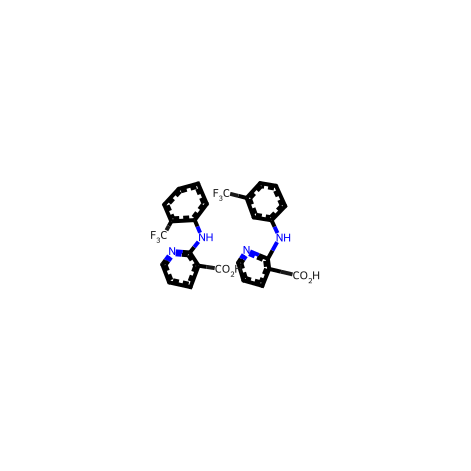 O=C(O)c1cccnc1Nc1cccc(C(F)(F)F)c1.O=C(O)c1cccnc1Nc1ccccc1C(F)(F)F